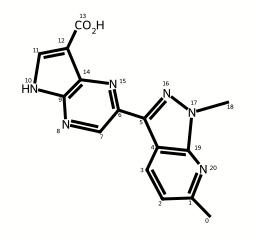 Cc1ccc2c(-c3cnc4[nH]cc(C(=O)O)c4n3)nn(C)c2n1